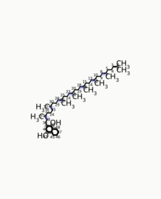 CC(C)=CCC/C(C)=C/CC/C(C)=C/CC/C(C)=C/CC/C(C)=C/CC/C(C)=C/CC/C(C)=C/CC/C(C)=C/Cc1cc(O)c2ccccc2c1O